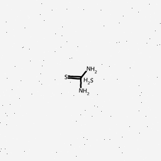 NC(N)=S.S